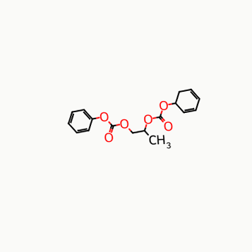 CC(COC(=O)Oc1ccccc1)OC(=O)OC1C=CC=CC1